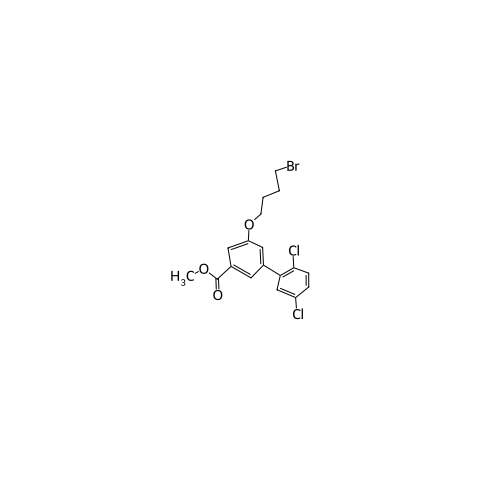 COC(=O)c1cc(OCCCCBr)cc(-c2cc(Cl)ccc2Cl)c1